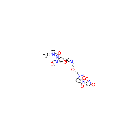 CN(CCCO[C@H]1C[C@H](Nc2cccc3c2C(=O)N(C2CCC(=O)NC2=O)C3=O)C1)C[C@@]1(C)Cc2cc(NC(=O)c3cccc(C(F)(F)F)n3)c(N3CCOCC3)cc2O1